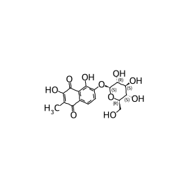 CC1=C(O)C(=O)c2c(ccc(O[C@@H]3O[C@H](CO)[C@@H](O)[C@H](O)[C@H]3O)c2O)C1=O